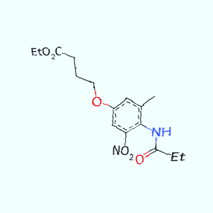 CCOC(=O)CCCOc1cc(C)c(NC(=O)CC)c([N+](=O)[O-])c1